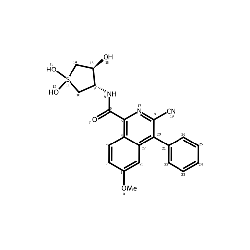 COc1ccc2c(C(=O)N[C@@H]3CS(O)(O)C[C@H]3O)nc(C#N)c(-c3ccccc3)c2c1